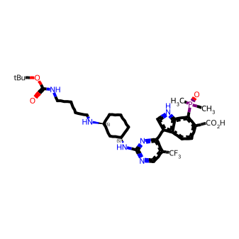 CC(C)(C)OC(=O)NCCCCN[C@H]1CCC[C@H](Nc2ncc(C(F)(F)F)c(-c3c[nH]c4c(P(C)(C)=O)c(C(=O)O)ccc34)n2)C1